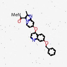 CNC(=O)c1c(C)nc2cc(Oc3ccnc4cc(OCc5ccccc5)ccc34)ccn12